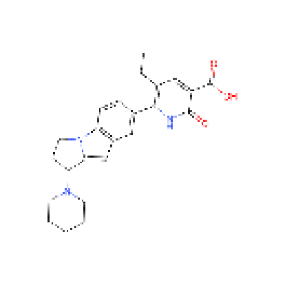 CCc1cc(C(=O)O)c(=O)[nH]c1-c1ccc2c(c1)cc1n2CCC1N1CCCCC1